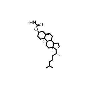 CC(C)CCC[C@@H](C)[C@H]1CCC2C3CC=C4CC(OC([NH])=O)CC[C@]4(C)C3CC[C@@]21C